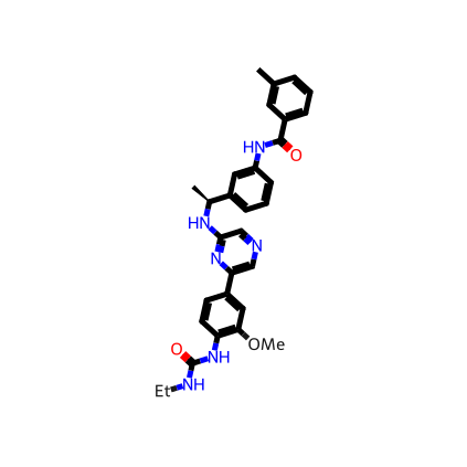 CCNC(=O)Nc1ccc(-c2cncc(N[C@@H](C)c3cccc(NC(=O)c4cccc(C)c4)c3)n2)cc1OC